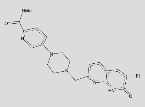 CCc1cc2ccc(CN3CCN(c4ccc(C(=O)NC)nc4)CC3)nc2[nH]c1=O